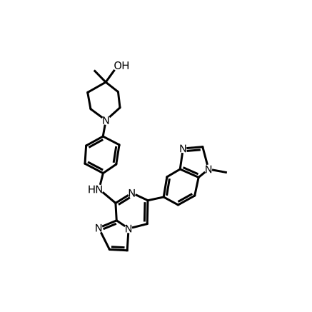 Cn1cnc2cc(-c3cn4ccnc4c(Nc4ccc(N5CCC(C)(O)CC5)cc4)n3)ccc21